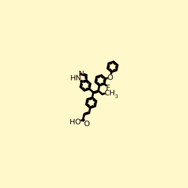 CCC(=C(c1ccc(C=CC(=O)O)cc1)c1ccc2[nH]ncc2c1)c1cccc(Oc2ccccc2)c1F